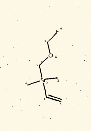 C=C[Si](C)(C)COCF